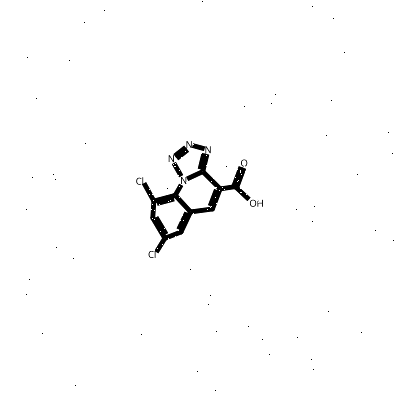 O=C(O)c1cc2cc(Cl)cc(Cl)c2n2nnnc12